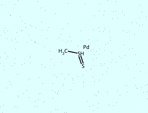 C[SH]=S.[Pd]